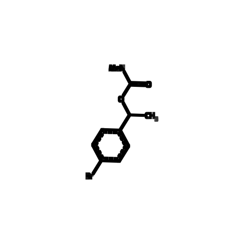 CNC(=O)OC(C)c1ccc(Br)cc1